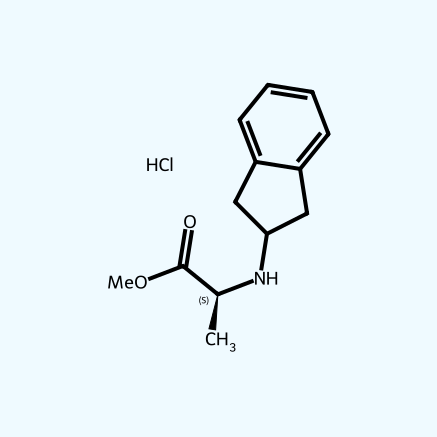 COC(=O)[C@H](C)NC1Cc2ccccc2C1.Cl